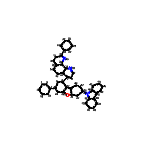 c1ccc(-c2cc(-c3ccnc4c3ccc3ccc(-c5ccccc5)nc34)c3c(c2)oc2cc(-n4c5ccccc5c5ccccc54)ccc23)cc1